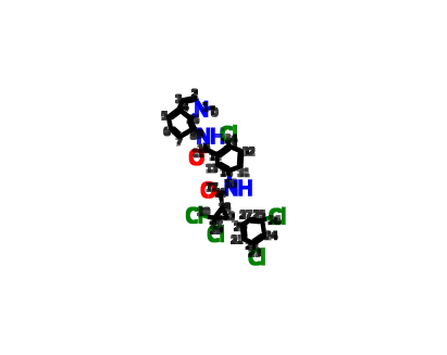 Cn1ccc2cccc(NC(=O)c3cc(NC(=O)[C@H]4[C@H](c5cc(Cl)cc(Cl)c5)C4(Cl)Cl)ccc3Cl)c21